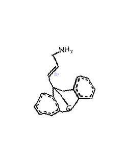 NC/C=C/C12CCC(c3ccccc31)c1ccccc12